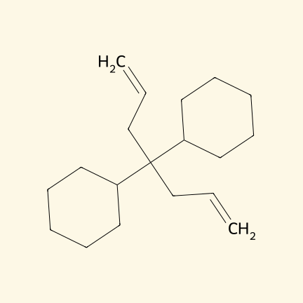 C=CCC(CC=C)(C1CCCCC1)C1CCCCC1